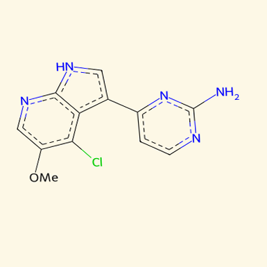 COc1cnc2[nH]cc(-c3ccnc(N)n3)c2c1Cl